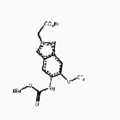 CCOC(=O)Cn1cc2cc(NC(=O)OC(C)(C)C)c(OC(F)(F)F)cc2n1